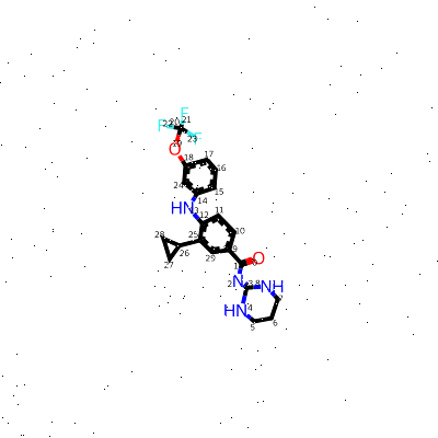 O=C(N=C1NCCCN1)c1ccc(Nc2cccc(OC(F)(F)F)c2)c(C2CC2)c1